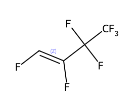 F/C=C(\F)C(F)(F)C(F)(F)F